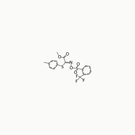 COC(=O)/C(=N/OS(=O)(=O)c1ccccc1C(F)(F)F)Sc1ccc(C)cc1